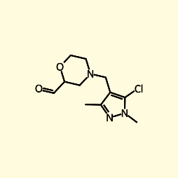 Cc1nn(C)c(Cl)c1CN1CCOC(C=O)C1